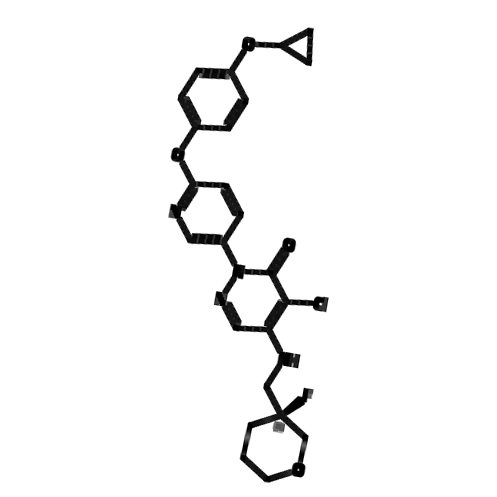 O=c1c(Cl)c(NC[C@@]2(F)CCCOC2)cnn1-c1ccc(Oc2ccc(OC3CC3)cc2)nc1